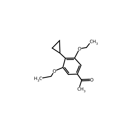 CCOc1cc(C(C)=O)cc(OCC)c1C1CC1